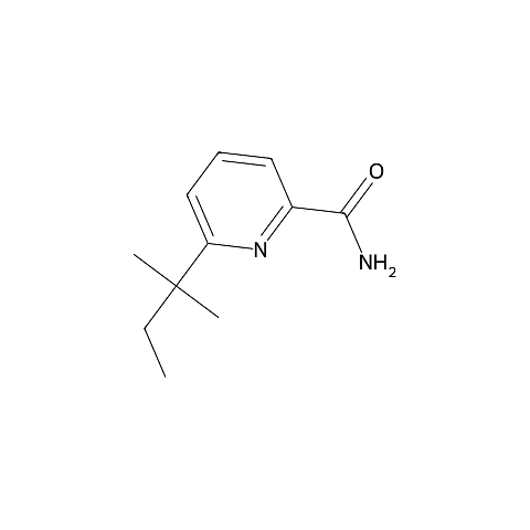 CCC(C)(C)c1cccc(C(N)=O)n1